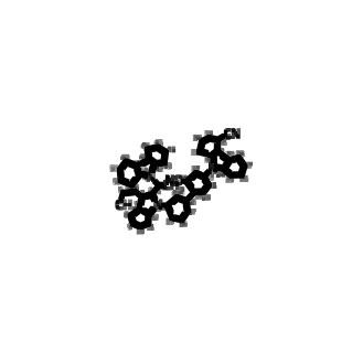 C=C(c1c(/C=C\C)c2ccccc2n1-c1cccc(-c2ccc(-n3c4ccccc4c4c(C#N)cccc43)cc2C#N)c1)n1c2ccccc2c2ccccc21